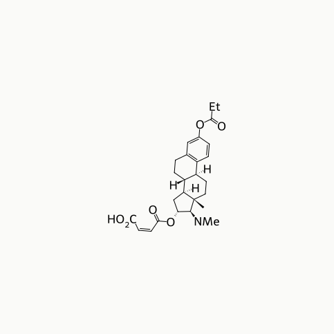 CCC(=O)Oc1ccc2c(c1)CC[C@@H]1[C@@H]2CC[C@@]2(C)[C@H]1C[C@@H](OC(=O)/C=C\C(=O)O)[C@@H]2NC